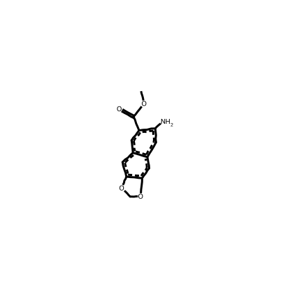 COC(=O)c1cc2cc3c(cc2cc1N)OCO3